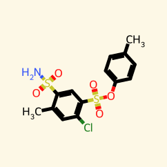 Cc1ccc(OS(=O)(=O)c2cc(S(N)(=O)=O)c(C)cc2Cl)cc1